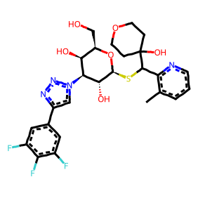 Cc1cccnc1C(S[C@@H]1O[C@H](CO)[C@H](O)[C@H](n2cc(-c3cc(F)c(F)c(F)c3)nn2)[C@H]1O)C1(O)CCOCC1